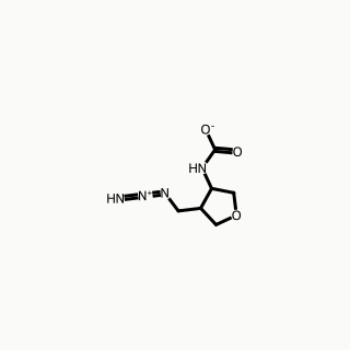 N=[N+]=NCC1COCC1NC(=O)[O-]